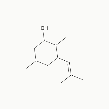 CC(C)=CC1CC(C)CC(O)C1C